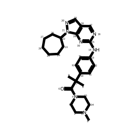 CN1CCN(C(=O)C(C)(C)c2ccc(Nc3ncc4cnn(C5CCCCCC5)c4n3)cc2)CC1